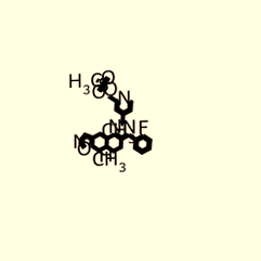 C[C@H]1c2oncc2C[C@@]2(C)c3nc(-c4ccnc(COS(C)(=O)=O)c4)nc(-c4ccccc4F)c3CC[C@H]12